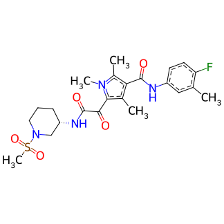 Cc1cc(NC(=O)c2c(C)c(C(=O)C(=O)N[C@H]3CCCN(S(C)(=O)=O)C3)n(C)c2C)ccc1F